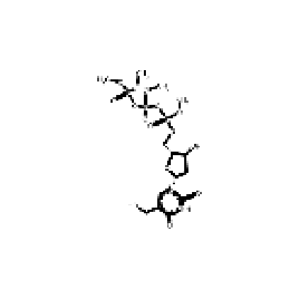 COP(=O)(OC)OP(=O)(OC)OP(=O)(OC)OC[C@H]1O[C@@H](n2cc(CO)c(=O)[nH]c2=O)CC1O